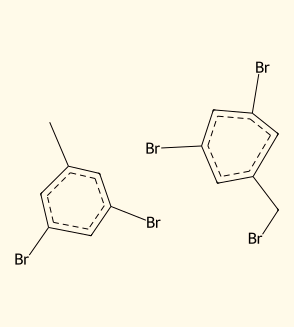 BrCc1cc(Br)cc(Br)c1.Cc1cc(Br)cc(Br)c1